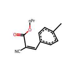 CCCOC(=O)C(C#N)=Cc1ccc(C)cc1